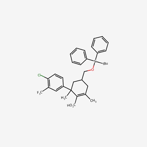 CC1=C(C(=O)O)C(C)(c2ccc(Cl)c(C(F)(F)F)c2)CC(CO[Si](c2ccccc2)(c2ccccc2)C(C)(C)C)C1